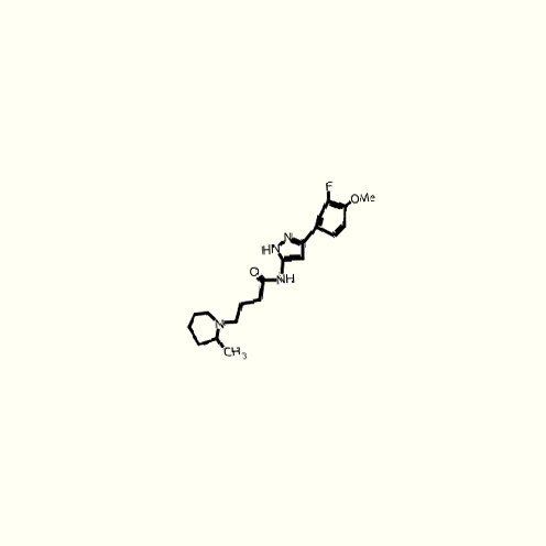 COc1ccc(-c2cc(NC(=O)CCCN3CCCCC3C)[nH]n2)cc1F